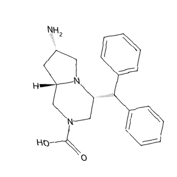 N[C@H]1C[C@H]2CN(C(=O)O)C[C@@H](C(c3ccccc3)c3ccccc3)N2C1